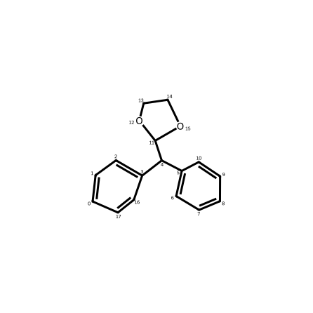 c1ccc(C(c2ccccc2)C2OCCO2)cc1